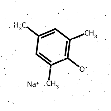 Cc1cc(C)c([O-])c(C)c1.[Na+]